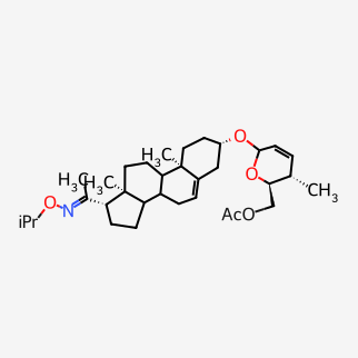 CC(=O)OC[C@H]1OC(O[C@H]2CC[C@@]3(C)C(=CCC4C3CC[C@@]3(C)C4CC[C@@H]3/C(C)=N/OC(C)C)C2)C=C[C@@H]1C